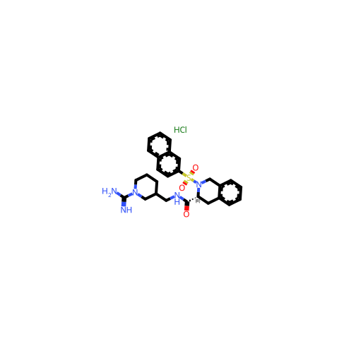 Cl.N=C(N)N1CCCC(CNC(=O)[C@H]2Cc3ccccc3CN2S(=O)(=O)c2ccc3ccccc3c2)C1